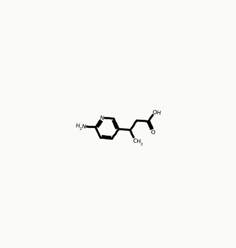 CC(CC(=O)O)c1ccc(N)nc1